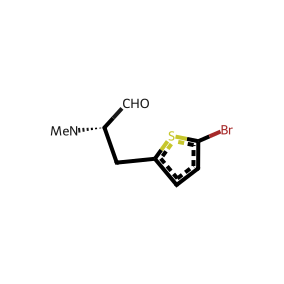 CN[C@H](C=O)Cc1ccc(Br)s1